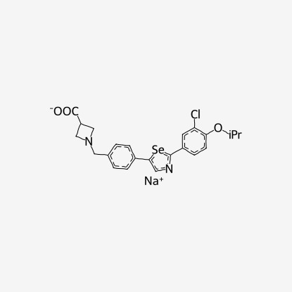 CC(C)Oc1ccc(-c2ncc(-c3ccc(CN4CC(C(=O)[O-])C4)cc3)[se]2)cc1Cl.[Na+]